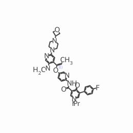 C=Nc1cnc(N2CCN(C3COC3)CC2)cc1/C(=C\C)Oc1ccc(NC(=O)c2cn(C(C)C)cc(-c3ccc(F)cc3)c2=O)nc1